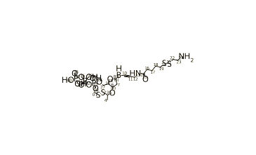 CSSC(C)O[C@@H]1C[C@H](BC#CCNC(=O)CCCCSSCCN)OC1COP(=O)(O)OP(=O)(O)OP(=O)(O)O